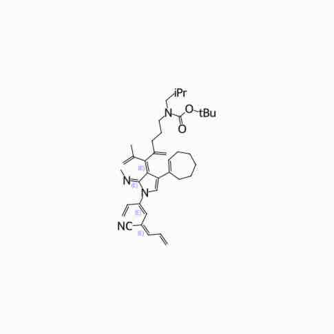 C=C/C=C(C#N)\C=C(/C=C)N1C=C(C2=CCCCCC2)C(=C(/C(=C)C)C(=C)CCCN(CC(C)C)C(=O)OC(C)(C)C)/C1=N\C